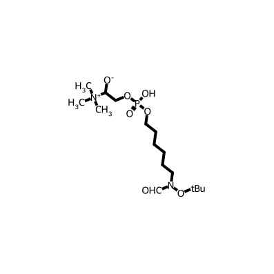 CC(C)(C)ON(C=O)CCCCCCOP(=O)(O)OCC([O-])[N+](C)(C)C